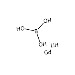 OB(O)O.[Gd].[LiH]